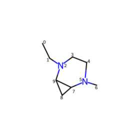 CCN1CCN(C)C2CC21